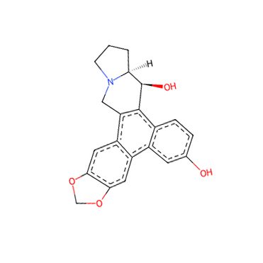 Oc1ccc2c3c(c4cc5c(cc4c2c1)OCO5)CN1CCC[C@H]1[C@H]3O